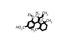 C=CC(C)=C(C1=C(C)CCCC1(C)C)c1ccc(C(=O)O)cc1OCC